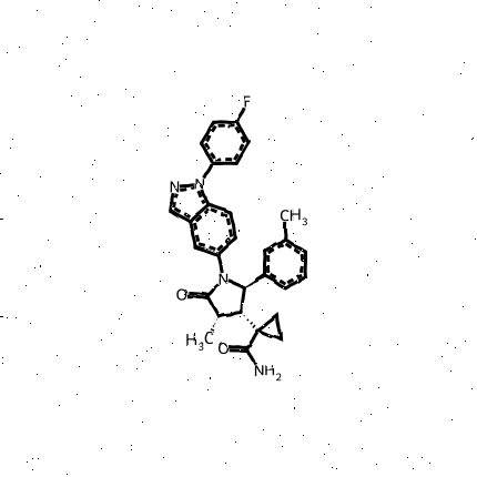 Cc1cccc([C@H]2[C@H](C3(C(N)=O)CC3)[C@H](C)C(=O)N2c2ccc3c(cnn3-c3ccc(F)cc3)c2)c1